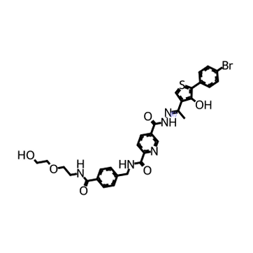 C/C(=N\NC(=O)c1ccc(C(=O)NCc2ccc(C(=O)NCCOCCO)cc2)nc1)c1csc(-c2ccc(Br)cc2)c1O